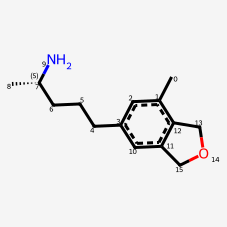 Cc1cc(CCC[C@H](C)N)cc2c1COC2